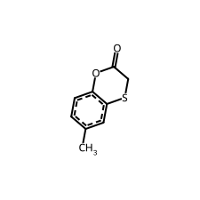 Cc1ccc2c(c1)SCC(=O)O2